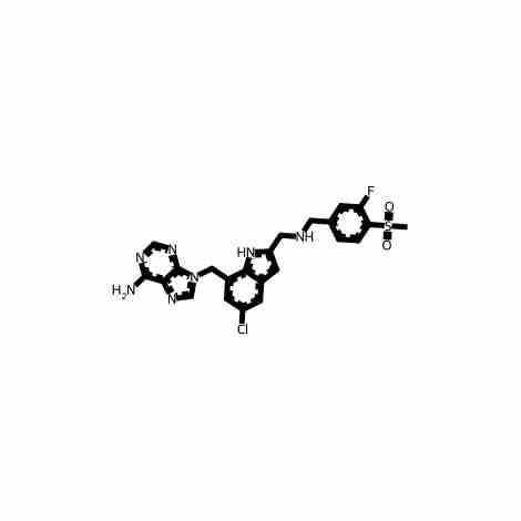 CS(=O)(=O)c1ccc(CNCc2cc3cc(Cl)cc(Cn4cnc5c(N)ncnc54)c3[nH]2)cc1F